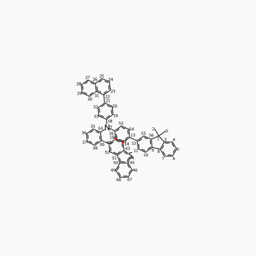 CC1(C)c2ccccc2-c2ccc(-c3ccc(N(c4ccc(-c5cccc6ccccc56)cc4)c4ccccc4-c4ccc5sc6ccccc6c5c4)cc3)cc21